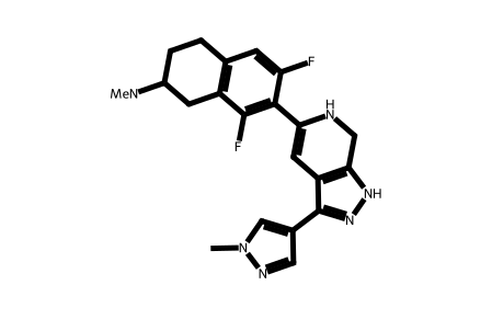 CNC1CCc2cc(F)c(C3=Cc4c(-c5cnn(C)c5)n[nH]c4CN3)c(F)c2C1